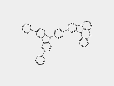 c1ccc(-c2ccc3c(c2)c2cc(-c4ccccc4)ccc2n3-c2ccc(-c3ccc4c5cccc6c5n(c4c3)-c3ccccc3O6)cc2)cc1